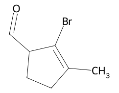 CC1=C(Br)C(C=O)CC1